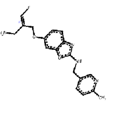 Cc1ccc(CNc2nc3ccc(OC/C(=C\F)CN)cc3o2)cn1